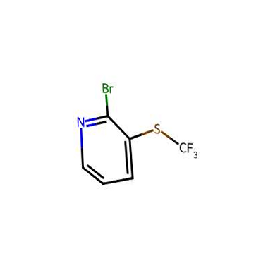 FC(F)(F)Sc1cccnc1Br